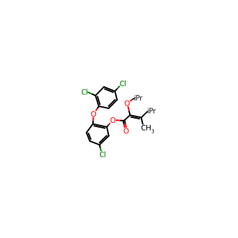 C/C(=C(/OC(C)C)C(=O)Oc1cc(Cl)ccc1Oc1ccc(Cl)cc1Cl)C(C)C